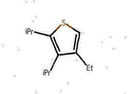 CCc1csc(C(C)C)c1C(C)C